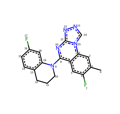 Cc1cc2c(cc1F)c(N1CCCc3ccc(F)cc31)nc1nncn12